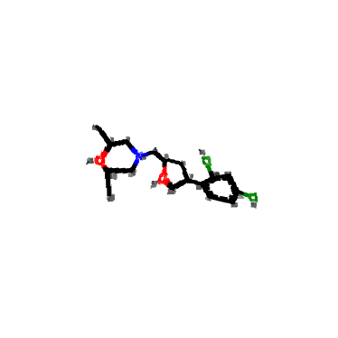 CC1CN(CC2CC(c3ccc(Cl)cc3Cl)CO2)CC(C)O1